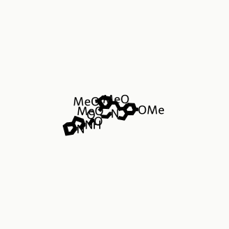 COc1cc2c(c(OC)c1)C(Cc1ccc(OC)c(OC)c1)N(CCCOC(=O)Nc1ccc3ccccc3n1)CC2